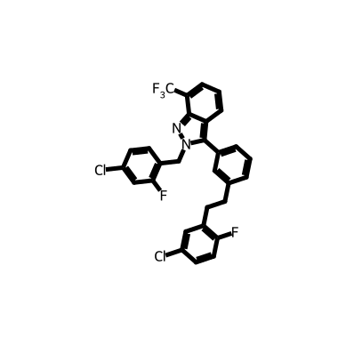 Fc1ccc(Cl)cc1CCc1cccc(-c2c3cccc(C(F)(F)F)c3nn2Cc2ccc(Cl)cc2F)c1